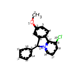 COc1ccc2c(c1)C(c1ccccc1)[n+]1cccc(Cl)c1-2